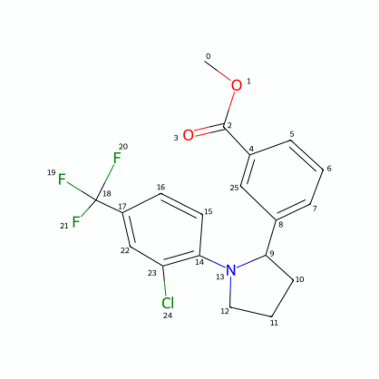 COC(=O)c1cccc(C2CCCN2c2ccc(C(F)(F)F)cc2Cl)c1